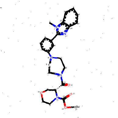 Cn1c(-c2cccc(N3CCN(C(=O)[C@H]4COCCN4C(=O)OC(C)(C)C)CC3)c2)nc2ccccc21